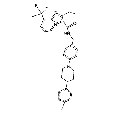 CCc1nc2c(C(F)(F)F)cccn2c1C(=O)NCc1ccc(N2CCC(c3ccc(C)cc3)CC2)cc1